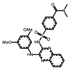 COc1cc(Nc2nc3ccccc3nc2NS(=O)(=O)c2ccc(C(=O)N(C)C)cc2)cc(OC)c1